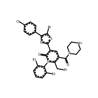 CCc1cccc(CC)c1-n1c(CC(C)C)c(C(=O)N2CCNCC2)cc(-c2nc(-c3ccc(Cl)cc3)c(Br)s2)c1=O